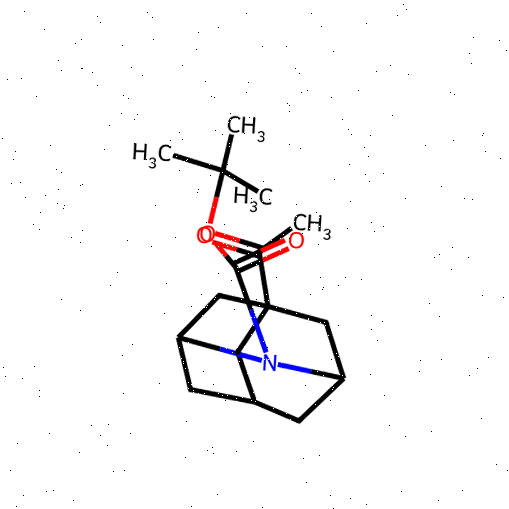 CC(=O)C12CC3CC(C1)N(C(=O)OC(C)(C)C)C(C3)C2